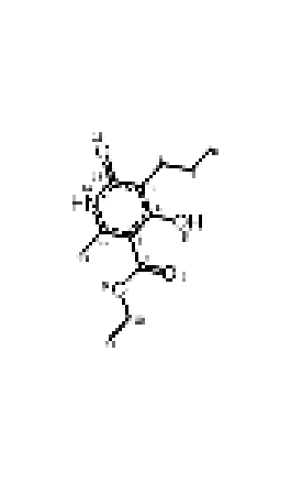 CCCc1c(O)c(C(=O)OCC)c(C)[nH]c1=O